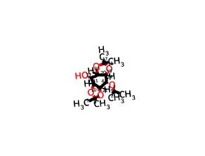 CC(C)O[C@@H]1[C@H]2OC(C)(C)O[C@H]2[C@@H](O)[C@@H]2OC(C)(C)O[C@@H]12